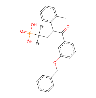 CCC(CC)(CC(C(=O)c1cccc(OCc2ccccc2)c1)c1ccccc1C)P(=O)(O)O